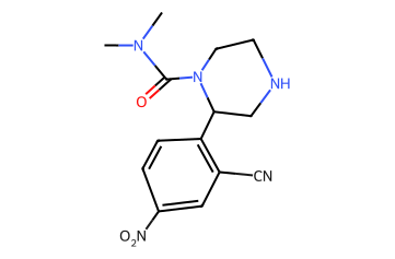 CN(C)C(=O)N1CCNCC1c1ccc([N+](=O)[O-])cc1C#N